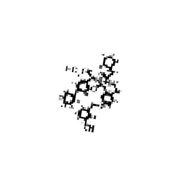 N#Cc1cccc(COc2ccc3c(c2)C(C(=O)NC(CC(=O)O)c2ccc(-c4ccccc4)cc2)N(C(=O)CC2CCCC2)CC3)c1